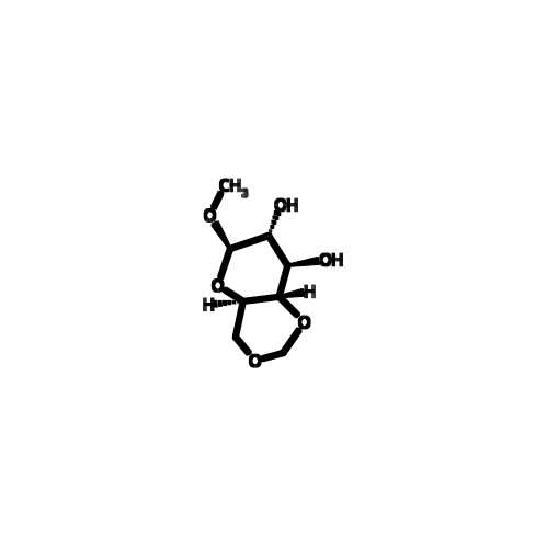 CO[C@@H]1O[C@@H]2COCO[C@H]2[C@H](O)[C@H]1O